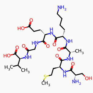 CSCC[C@H](NC(=O)[C@@H](N)CO)C(=O)N[C@@H](C)C(=O)N[C@@H](CCCCN)C(=O)N[C@@H](CCC(=O)O)C(=O)NCC(=O)N[C@H](C(=O)O)C(C)C